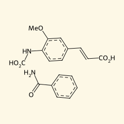 COc1cc(/C=C/C(=O)O)ccc1NC(=O)O.NC(=O)c1ccccc1